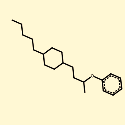 CCCCCC1CCC(CCC(C)Oc2ccccc2)CC1